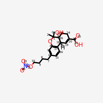 CC1(C)Oc2cc(CCCCO[N+](=O)[O-])ccc2[C@H]2C=C(C(=O)O)CC[C@@]21O